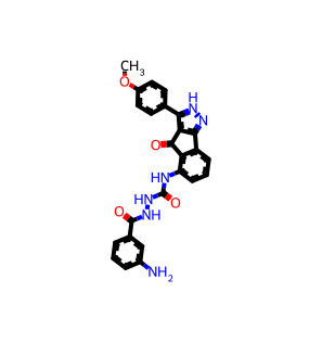 COc1ccc(-c2[nH]nc3c2C(=O)c2c(NC(=O)NNC(=O)c4cccc(N)c4)cccc2-3)cc1